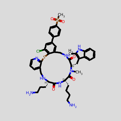 Cc1[nH]c2ccccc2c1C[C@H]1C(=O)NCc2cc(-c3ccc(S(C)(=O)=O)cc3)cc(Cl)c2Sc2ncccc2CN[C@@H](CCCN)C(=O)N[C@@H](CCCCN)C(=O)N1C